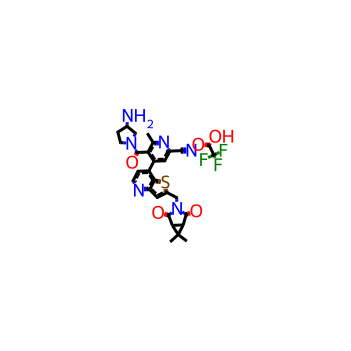 Cc1nc(C#N)cc(-c2ccnc3cc(CN4C(=O)C5C(C4=O)C5(C)C)sc23)c1C(=O)N1CCC(N)C1.O=C(O)C(F)(F)F